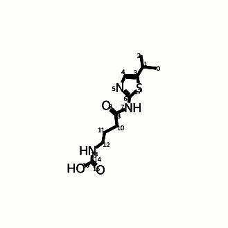 CC(C)c1cnc(NC(=O)CCCNC(=O)O)s1